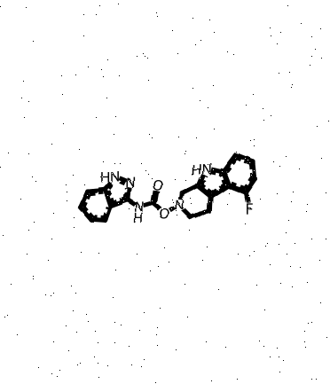 O=C(Nc1n[nH]c2ccccc12)ON1CCc2c([nH]c3cccc(F)c23)C1